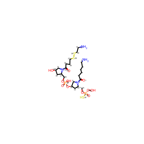 NCCCCCC(=O)N1C[C@H](OP(=O)(O)OCC2C[C@@H](O)CN2C(=O)CCCSSCCN)C[C@H]1COP(=O)(S)OO